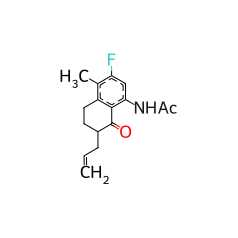 C=CCC1CCc2c(C)c(F)cc(NC(C)=O)c2C1=O